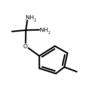 Cc1ccc(OC(C)(N)N)cc1